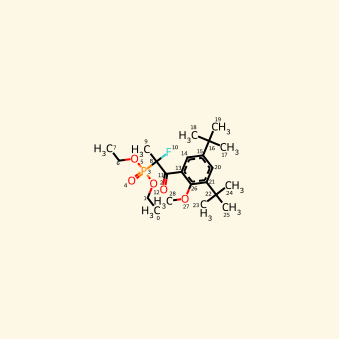 CCOP(=O)(OCC)C(C)(F)C(=O)c1cc(C(C)(C)C)cc(C(C)(C)C)c1OC